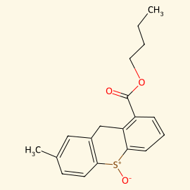 CCCCOC(=O)c1cccc2c1Cc1cc(C)ccc1[S+]2[O-]